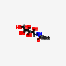 CCCCCCCCC(=O)NC[C@H](O)[C@@H](O)[C@H](O)[C@H](O)CO